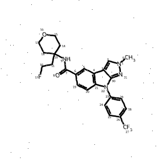 Cn1cc2c3cc(C(=O)NC4(CCF)CCOCC4)ccc3n(-c3ccc(C(F)(F)F)cc3)c2n1